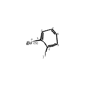 CC[C@H](C)c1ccccc1I